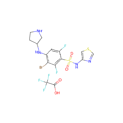 O=C(O)C(F)(F)F.O=S(=O)(Nc1cscn1)c1c(F)cc(NC2CCNC2)c(Br)c1F